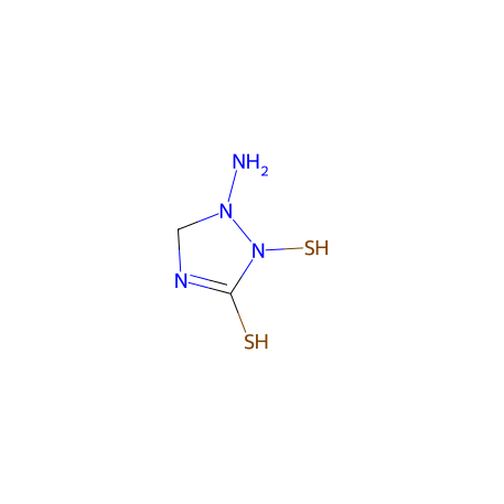 NN1CN=C(S)N1S